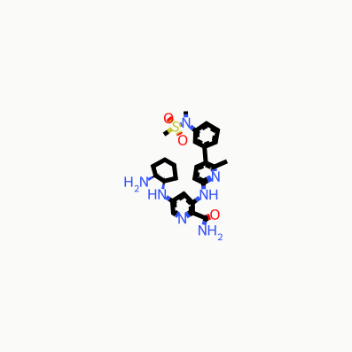 Cc1nc(Nc2cc(N[C@@H]3CCCC[C@@H]3N)cnc2C(N)=O)ccc1-c1cccc(N(C)S(C)(=O)=O)c1